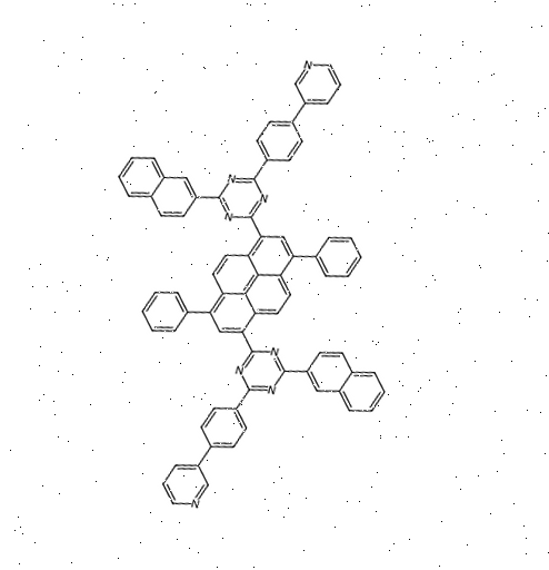 c1ccc(-c2cc(-c3nc(-c4ccc(-c5cccnc5)cc4)nc(-c4ccc5ccccc5c4)n3)c3ccc4c(-c5ccccc5)cc(-c5nc(-c6ccc(-c7cccnc7)cc6)nc(-c6ccc7ccccc7c6)n5)c5ccc2c3c45)cc1